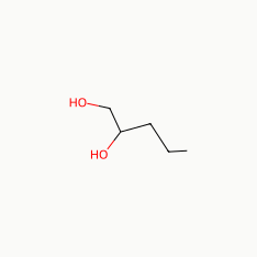 CCCC(O)CO